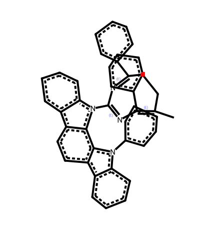 C\C1=C(c2ccccc2)/N=C(n2c3ccccc3c3ccc4c5ccccc5n(-c5ccccc5)c4c32)\N=C(\c2ccccc2)CC1